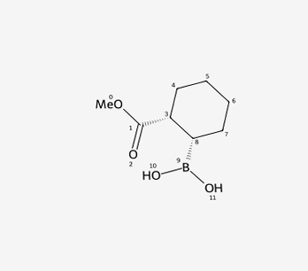 COC(=O)[C@@H]1CCCC[C@@H]1B(O)O